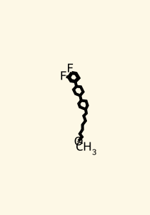 COCCCCCCCC1CCC(C2CCC(c3ccc(F)c(F)c3)CC2)CC1